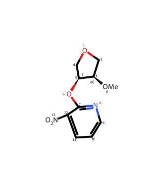 CO[C@@H]1COC[C@@H]1Oc1ncccc1[N+](=O)[O-]